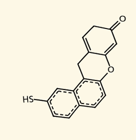 O=C1C=C2Oc3ccc4ccc(S)cc4c3CC2=CC1